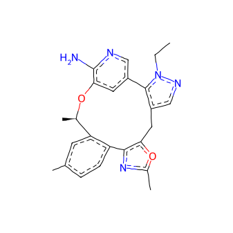 CCn1ncc2c1-c1cnc(N)c(c1)O[C@H](C)c1cc(C)ccc1-c1nc(C)oc1C2